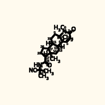 CN1C(=O)C=C[C@@]2(C)C1CC[C@@H]1[C@H]2CC[C@]2(C)C(C(=O)NC(C)(C)C#N)CC[C@@H]12